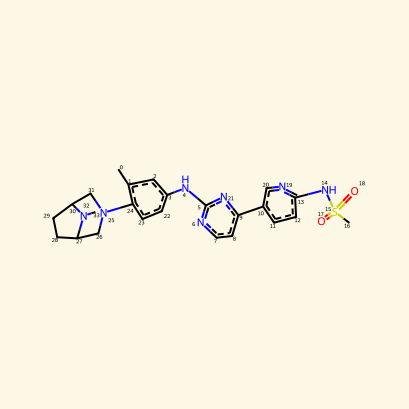 Cc1cc(Nc2nccc(-c3ccc(NS(C)(=O)=O)nc3)n2)ccc1N1CC2CCC(C1)N2C